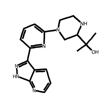 CC(C)(O)C1CN(c2cccc(-c3n[nH]c4ncccc34)n2)CCN1